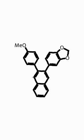 COc1ccc(-c2[c]c3ccccc3cc2-c2ccc3c(c2)OCO3)cc1